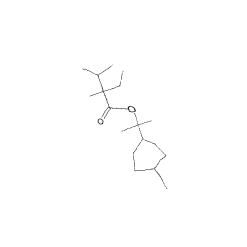 CCC(C)(C(=O)OC(C)(C)C1CCC(C)CC1)C(C)C